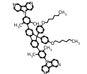 CCCCCCOc1ccc(C2(c3ccc(OCCCCCC)cc3)c3cc(-c4c(C)cc(-n5c6ccncc6c6cnccc65)cc4C)ccc3-c3ccc(-c4c(C)cc(-n5c6ccncc6c6cnccc65)cc4C)cc32)cc1